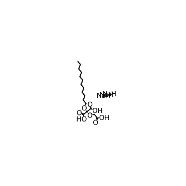 CCCCCCCCCCCCOC(OCC(=O)O)(C(=O)O)C(=O)O.[NaH].[NaH].[NaH]